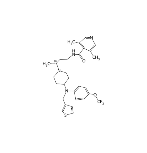 Cc1cncc(C)c1C(=O)NCC[C@@H](C)N1CCC(N(Cc2ccsc2)c2ccc(OC(F)(F)F)cc2)CC1